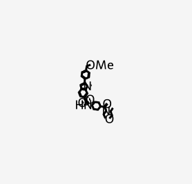 COCc1ccc(-c2cc3ccc(S(=O)(=O)NC4CCC(C(=O)N5CCOCC5C)CC4)cc3n2C)cc1